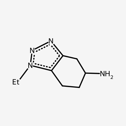 CCn1nnc2c1CCC(N)C2